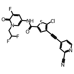 N#Cc1cc(C#Cc2cc(C(=O)Nc3cc(F)c(=O)n(CC(F)F)c3)sc2Cl)ccn1